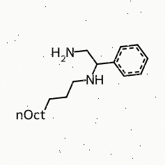 CCCCCCCCCCCNC(CN)c1ccccc1